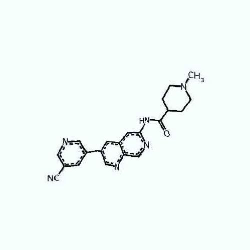 CN1CCC(C(=O)Nc2cc3cc(-c4cncc(C#N)c4)cnc3cn2)CC1